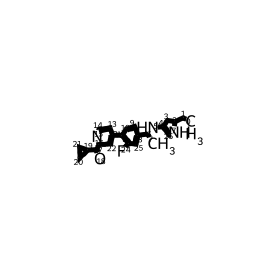 CCC1CC(NC(C)c2ccc(-c3ccnc(C(=O)C4CC4)c3)c(F)c2)=CN1